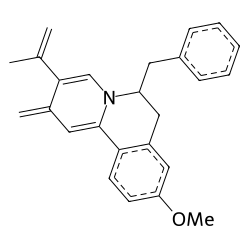 C=C(C)C1=CN2C(=CC1=C)c1ccc(OC)cc1CC2Cc1ccccc1